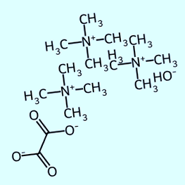 C[N+](C)(C)C.C[N+](C)(C)C.C[N+](C)(C)C.O=C([O-])C(=O)[O-].[OH-]